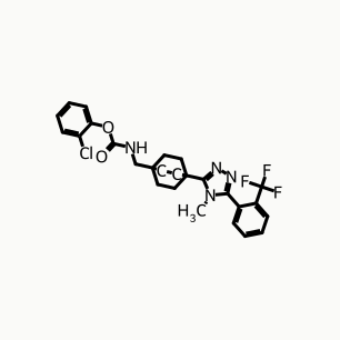 Cn1c(-c2ccccc2C(F)(F)F)nnc1C12CCC(CNC(=O)Oc3ccccc3Cl)(CC1)CC2